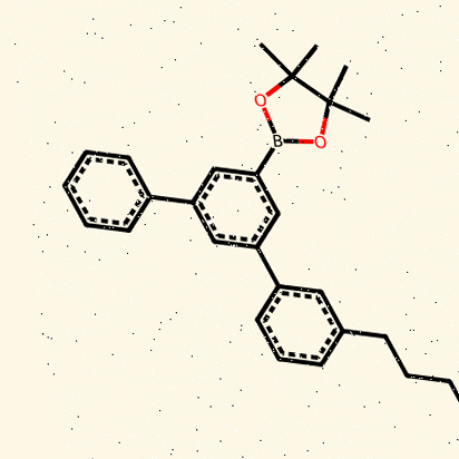 CCCCc1cccc(-c2cc(B3OC(C)(C)C(C)(C)O3)cc(-c3ccccc3)c2)c1